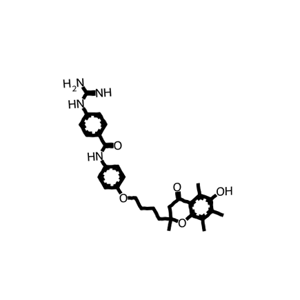 Cc1c(C)c2c(c(C)c1O)C(=O)CC(C)(CCCCOc1ccc(NC(=O)c3ccc(NC(=N)N)cc3)cc1)O2